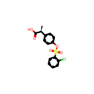 C[C@H](C(=O)O)c1ccc(OS(=O)(=O)c2ccccc2Cl)cc1